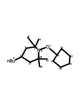 [CH2]CCCC1CC(C)(C)N(OC2CCCCC2)C(C)(C)C1